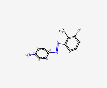 Cc1c(Cl)cccc1/N=N/c1ccc(N)cc1